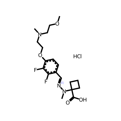 COCCN(C)CCOc1ccc(/C=N/N(C)C2(C(=O)O)CCC2)c(F)c1F.Cl